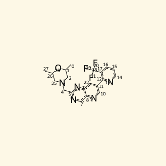 CC1CN(Cc2n[c]c3ncc(-c4ncccc4C(F)(F)F)cc3n2)CC(C)O1